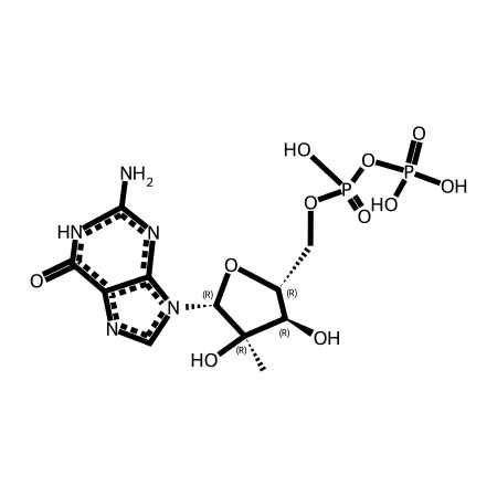 C[C@@]1(O)[C@H](O)[C@@H](COP(=O)(O)OP(=O)(O)O)O[C@H]1n1cnc2c(=O)[nH]c(N)nc21